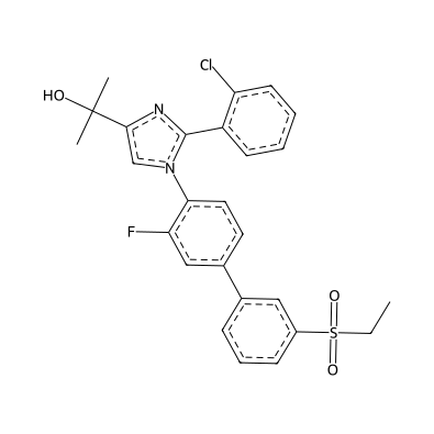 CCS(=O)(=O)c1cccc(-c2ccc(-n3cc(C(C)(C)O)nc3-c3ccccc3Cl)c(F)c2)c1